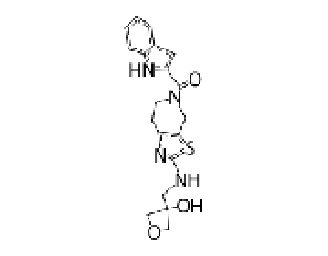 O=C(c1cc2ccccc2[nH]1)N1CCc2nc(NCC3(O)COC3)sc2C1